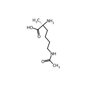 CC(=O)NCCCC[C@](C)(N)C(=O)O